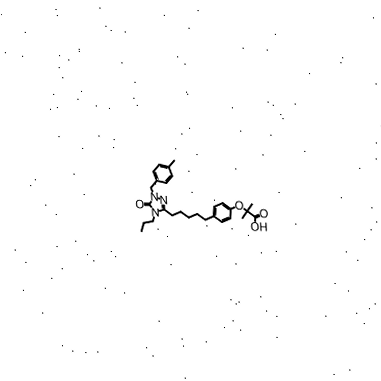 CCCn1c(CCCCCc2ccc(OC(C)(C)C(=O)O)cc2)nn(Cc2ccc(C)cc2)c1=O